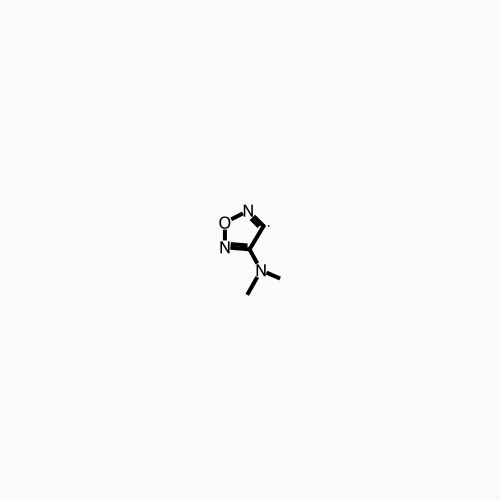 CN(C)c1[c]non1